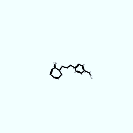 O=C1C=CC=CCC1CCCc1ccc(CCl)cc1